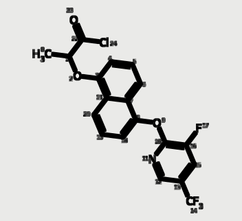 CC(Oc1cccc2c(Oc3ncc(C(F)(F)F)cc3F)cccc12)C(=O)Cl